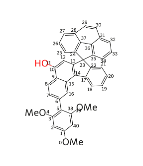 COc1cc(OC)c(-c2ccc3c(O)cc4c(c3c2)-c2ccccc2C42c3cccc4ccc5cccc2c5c34)c(OC)c1